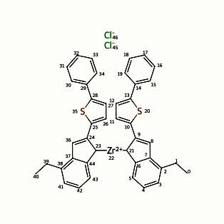 CCc1cccc2c1C=C(c1ccc(-c3ccccc3)s1)[CH]2[Zr+2][CH]1C(c2ccc(-c3ccccc3)s2)=Cc2c(CC)cccc21.[Cl-].[Cl-]